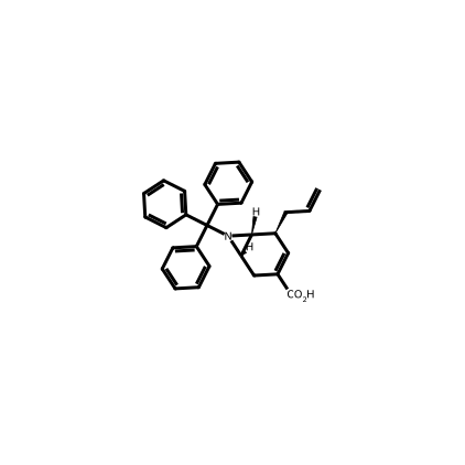 C=CC[C@H]1C=C(C(=O)O)C[C@H]2[C@@H]1N2C(c1ccccc1)(c1ccccc1)c1ccccc1